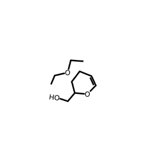 CCOCC.OCC1CCC=CO1